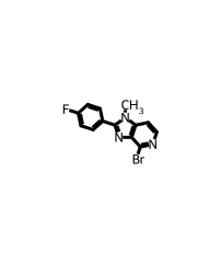 Cn1c(-c2ccc(F)cc2)nc2c(Br)nccc21